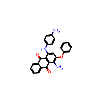 Nc1ccc(Nc2cc(Oc3ccccc3)c(N)c3c2C(=O)c2ccccc2C3=O)cc1